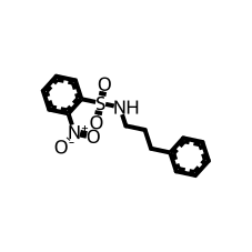 O=[N+]([O-])c1ccccc1S(=O)(=O)NCCCc1ccccc1